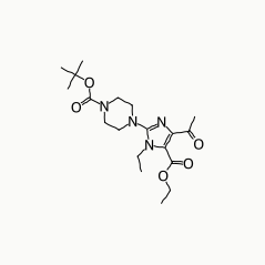 CCOC(=O)c1c(C(C)=O)nc(N2CCN(C(=O)OC(C)(C)C)CC2)n1CC